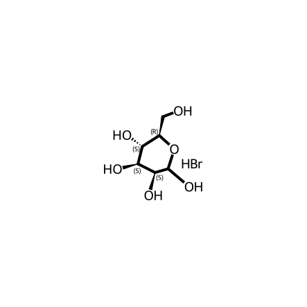 Br.OC[C@H]1OC(O)[C@@H](O)[C@@H](O)[C@@H]1O